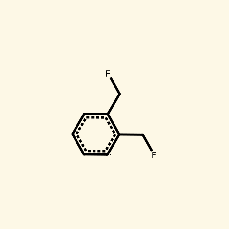 FCc1[c]cccc1CF